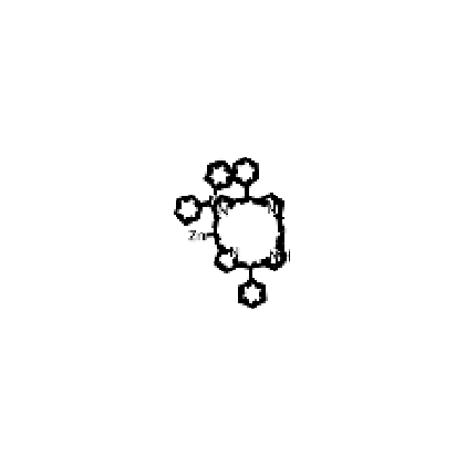 [Zn][c]1c2nc(c(-c3ccccc3)c3ccc(cc4nc(c(-c5ccccc5)c5ccc1n5N(c1ccccc1)c1ccccc1)C=C4)[nH]3)C=C2